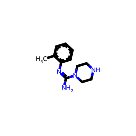 Cc1ccccc1N=C(N)N1CCNCC1